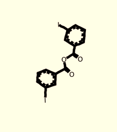 O=C(OC(=O)c1cccc(I)c1)c1cccc(I)c1